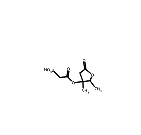 CC1OC(=O)CC1(C)OC(=O)CS(=O)(=O)O